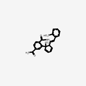 NC(=O)c1ccc(C(N)=O)c(C2(S(=O)(=O)O)C=CC=CC2C=Cc2ccccc2S(=O)(=O)O)c1